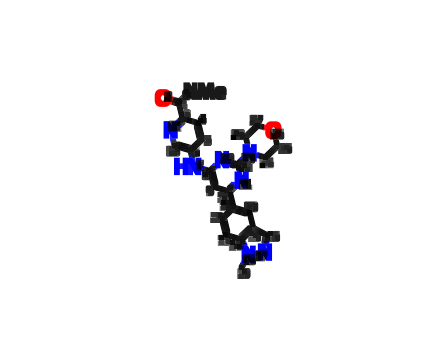 CNC(=O)c1ccc(Nc2cc(-c3ccc4c(cnn4C)c3)nc(N3CCOCC3)n2)cn1